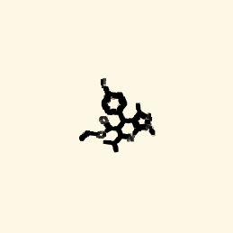 CCOC(=O)C1C(C(C)C)=Nc2c(c(C)nn2C)C1c1ccc(F)cc1